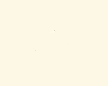 C#Cc1c(Br)cc(C)c2c1C(C)C(O[Si](C)(C)C)C(C)(C)N2